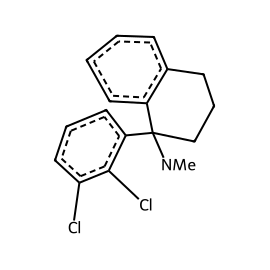 CNC1(c2cccc(Cl)c2Cl)CCCc2ccccc21